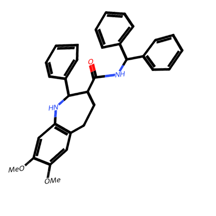 COc1cc2c(cc1OC)NC(c1ccccc1)C(C(=O)NC(c1ccccc1)c1ccccc1)CC2